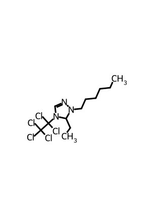 CCCCCCN1N=CN(C(Cl)(Cl)C(Cl)(Cl)Cl)C1CC